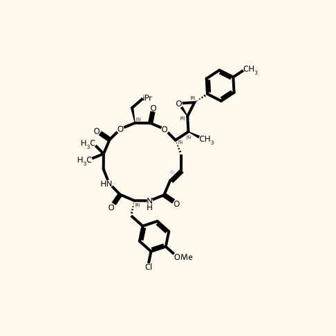 COc1ccc(C[C@H]2NC(=O)/C=C/C[C@@H]([C@H](C)[C@H]3O[C@@H]3c3ccc(C)cc3)OC(=O)[C@H](CC(C)C)OC(=O)C(C)(C)CNC2=O)cc1Cl